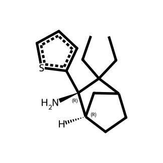 CCC1(CC)C2CC[C@H](C2)[C@]1(N)c1cccs1